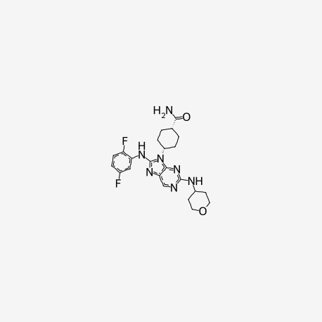 NC(=O)[C@H]1CC[C@@H](n2c(Nc3cc(F)ccc3F)nc3cnc(NC4CCOCC4)nc32)CC1